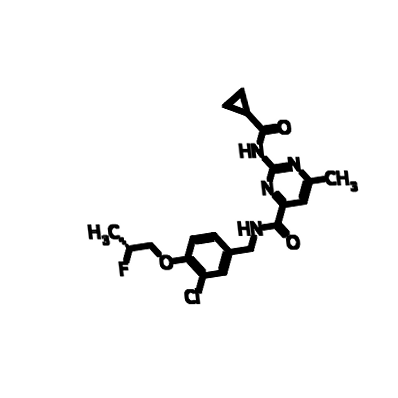 Cc1cc(C(=O)NCc2ccc(OC[C@@H](C)F)c(Cl)c2)nc(NC(=O)C2CC2)n1